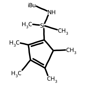 CCC(C)N[Si](C)(C)C1=C(C)C(C)=C(C)C1C